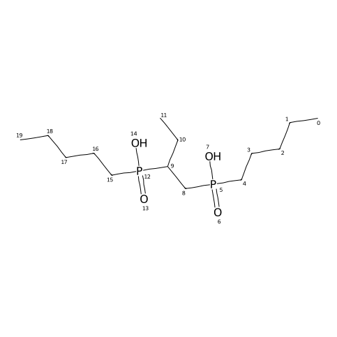 CCCCCP(=O)(O)CC(CC)P(=O)(O)CCCCC